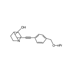 CCCOCc1ccc(C#CC2C(O)C3CCN2CC3)cc1